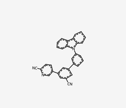 N#Cc1cc(-c2ccc(C#N)nc2)cc(-c2cccc(-n3c4ccccc4c4ccccc43)c2)c1